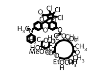 CC[C@H]1OC(=O)[C@H](C)[C@@H](O[C@H]2C[C@@](C)(OC)[C@@H](O)[C@H](C)O2)[C@H](C)[C@@H](OC(=O)Oc2ccc3c(c2)Oc2cc(N(C)c4ccccc4)ccc2C32OC(=O)c3c(Cl)c(Cl)c(Cl)c(Cl)c32)[C@](C)(O)C[C@@H](C)C(=O)[C@H](C)[C@@H](O)[C@]1(C)O